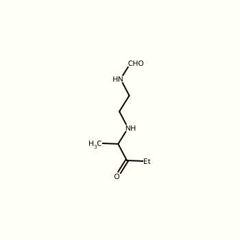 CCC(=O)C(C)NCCNC=O